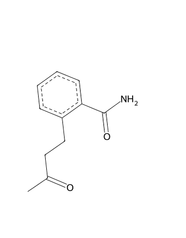 CC(=O)CCc1ccccc1C(N)=O